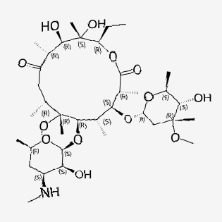 CC[C@H]1OC(=O)[C@H](C)[C@@H](O[C@H]2C[C@@](C)(OC)[C@@H](O)[C@H](C)O2)[C@H](C)[C@@H](O[C@@H]2O[C@H](C)C[C@H](NC)[C@@H]2O)[C@](C)(OC)[C@H](C)CC(=O)[C@H](C)[C@@H](O)[C@]1(C)O